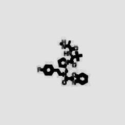 CN[C@@H](C)C(=O)N[C@H](C(=O)N1CCC[C@H]1CN(CCc1ccc(F)cc1)C(=O)c1nc2ccccc2o1)C(C)(C)C